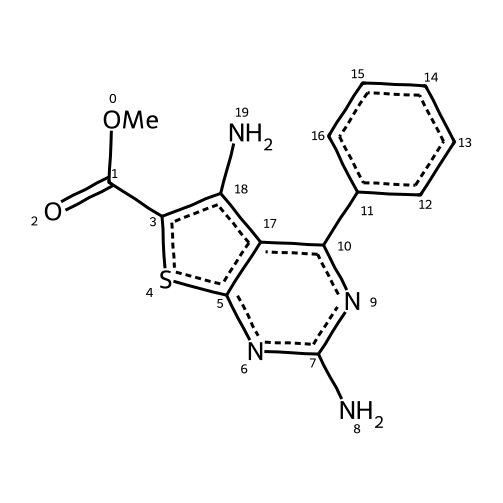 COC(=O)c1sc2nc(N)nc(-c3ccccc3)c2c1N